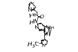 Cc1cc(-c2n[nH]c3cc(NC(=O)NCc4nccs4)ncc23)ccn1